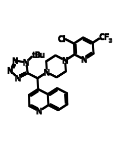 CC(C)(C)n1nnnc1C(c1ccnc2ccccc12)N1CCN(c2ncc(C(F)(F)F)cc2Cl)CC1